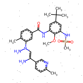 COc1c(NC(=O)c2ccc(C)c(N(N)/C=C(\N)c3ccc(C)nc3)c2)cc(C(C)(C)C)cc1NS(C)(=O)=O